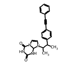 CC(c1ccc(C#Cc2ccccc2)cc1)C(C)N1C=CN2C(=O)NC(=O)NC21